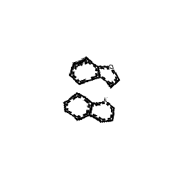 c1ccc2ncccc2c1.c1ccc2occc2c1